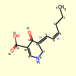 CCC/C=C\C=C1/CNC=C(C(=O)O)C1=O